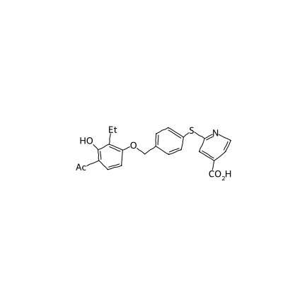 CCc1c(OCc2ccc(Sc3cc(C(=O)O)ccn3)cc2)ccc(C(C)=O)c1O